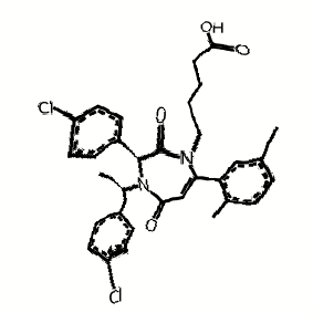 Cc1ccc(C)c(C2=CC(=O)N([C@H](C)c3ccc(Cl)cc3)[C@@H](c3ccc(Cl)cc3)C(=O)N2CCCCC(=O)O)c1